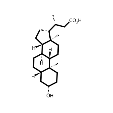 C[C@H](CC(=O)O)[C@H]1CC[C@H]2[C@@H]3CC[C@H]4C[C@@H](O)CC[C@]4(C)[C@H]3CC[C@]12C